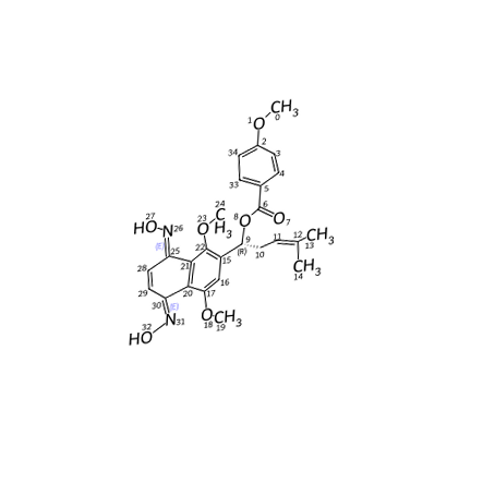 COc1ccc(C(=O)O[C@H](CC=C(C)C)c2cc(OC)c3c(c2OC)/C(=N/O)C=C/C3=N\O)cc1